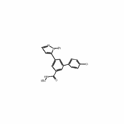 CC(C)n1nccc1-c1cc(C(=O)NC(C)(C)C)cc(-c2ccc(Cl)cc2)c1